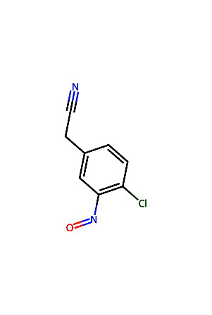 N#CCc1ccc(Cl)c(N=O)c1